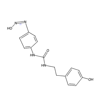 O=C(NCCc1ccc(O)cc1)Nc1ccc(/N=N\O)cc1